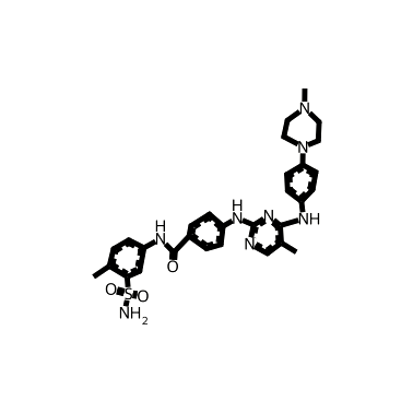 Cc1ccc(NC(=O)c2ccc(Nc3ncc(C)c(Nc4ccc(N5CCN(C)CC5)cc4)n3)cc2)cc1S(N)(=O)=O